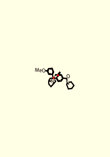 C=CCN1CC2CCC(C1)N2C(c1ccc(C(=O)N2CCCCC2)cc1)c1cccc(OC)c1